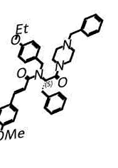 CCOc1ccc(CN(C(=O)C=Cc2ccc(OC)cc2)[C@@H](Cc2ccccc2)C(=O)N2CCN(Cc3ccccc3)CC2)cc1